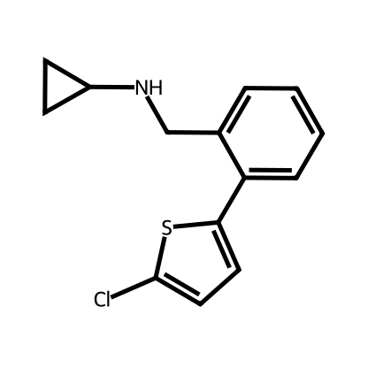 Clc1ccc(-c2ccccc2CNC2CC2)s1